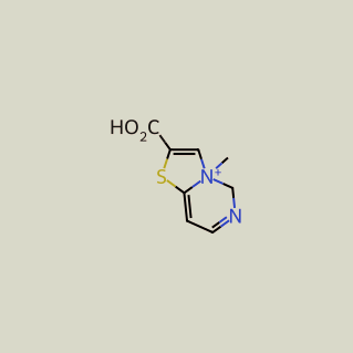 C[N+]12C=C(C(=O)O)SC1=CC=NC2